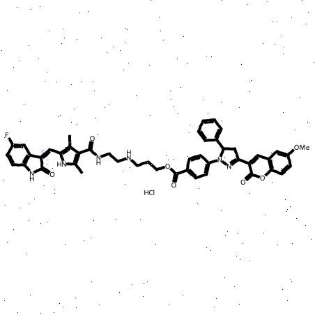 COc1ccc2oc(=O)c(C3=NN(c4ccc(C(=O)OCCCNCCNC(=O)c5c(C)[nH]c(/C=C6\C(=O)Nc7ccc(F)cc76)c5C)cc4)C(c4ccccc4)C3)cc2c1.Cl